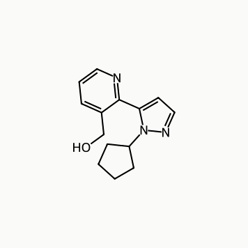 OCc1cccnc1-c1ccnn1C1CCCC1